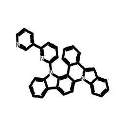 c1cncc(-c2cccc(-n3c4ccccc4c4ccc5c(c6ccccc6c6cc7ccccc7n65)c43)n2)c1